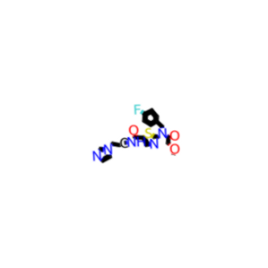 COCC(=O)N(Cc1ccc(F)cc1)c1ncc(C(=O)NCCCn2ccnc2)s1